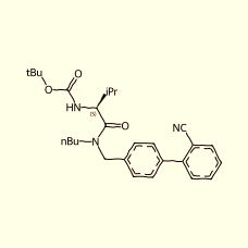 CCCCN(Cc1ccc(-c2ccccc2C#N)cc1)C(=O)[C@@H](NC(=O)OC(C)(C)C)C(C)C